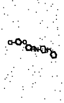 Clc1ccc(Oc2cccc(CNC3CCN(Cc4ccccc4)CC3)c2)cc1